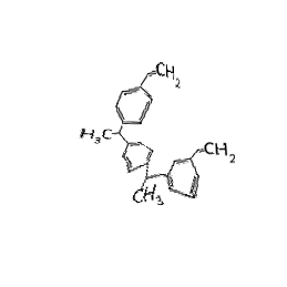 C=Cc1ccc(C(C)c2ccc(C(C)c3cccc(C=C)c3)cc2)cc1